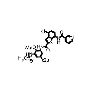 COc1c(NC(=O)c2cc3c(Cl)ccc(NC(=O)c4cccnc4)c3s2)cc(C(C)(C)C)cc1N[S+](C)[O-]